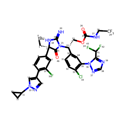 CC(C)(C)C[C@]1(c2ccc(-c3cnn(C4CC4)c3)c(F)c2)NC(=N)N([C@H](COC(=O)NCC(F)(F)F)c2ccc(Cl)c(-n3ncnc3C(F)F)c2)C1=O